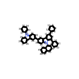 c1ccc(-c2cc(-c3ccccc3)c3c(c2)c2cc(-c4ccc5c(c4)c4ccccc4n5-c4ccccc4)ccc2n3-c2cccc3ccccc23)cc1